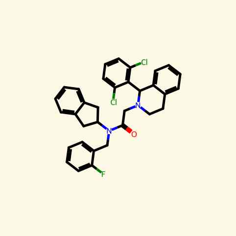 O=C(CN1CCc2ccccc2C1c1c(Cl)cccc1Cl)N(Cc1ccccc1F)C1Cc2ccccc2C1